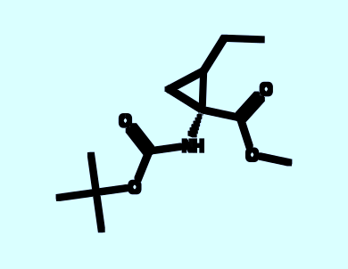 CCC1C[C@]1(NC(=O)OC(C)(C)C)C(=O)OC